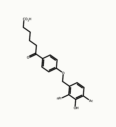 CCCc1c(COc2ccc(C(=O)CCCCC(=O)O)cc2)ccc(C(C)=O)c1O